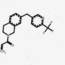 C=CC(=O)N1CCc2ccc(Cc3ccc(C(F)(F)F)nc3)cc2C1